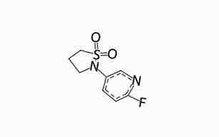 O=S1(=O)CCCN1c1ccc(F)nc1